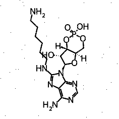 NCCCCCCNc1nc2c(N)ncnc2n1[C@@H]1O[C@@H]2COP(=O)(O)O[C@H]2[C@H]1O